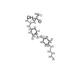 C=C(C)C(=O)OCC(CO)Cc1ccc(CCc2ccc(CCCCC)c(C)c2)c(C)c1